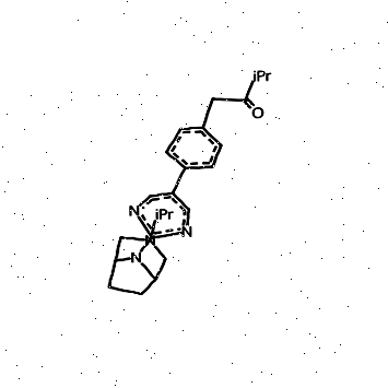 CC(C)C(=O)Cc1ccc(-c2cnc(N3C4CCC3CN(C(C)C)C4)nc2)cc1